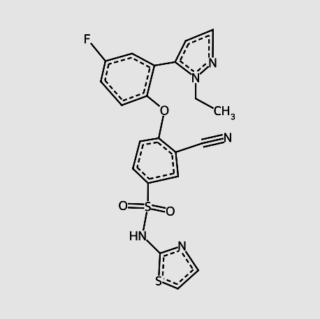 CCn1nccc1-c1cc(F)ccc1Oc1ccc(S(=O)(=O)Nc2nccs2)cc1C#N